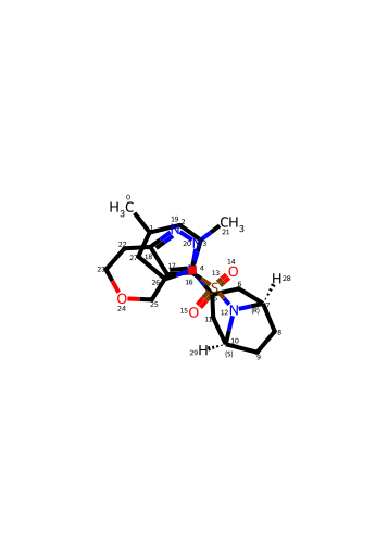 CC1CCN(C2C[C@H]3CC[C@@H](C2)N3S(=O)(=O)c2c3c(nn2C)CCOC3)CC1